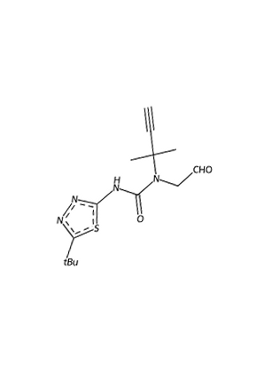 C#CC(C)(C)N(CC=O)C(=O)Nc1nnc(C(C)(C)C)s1